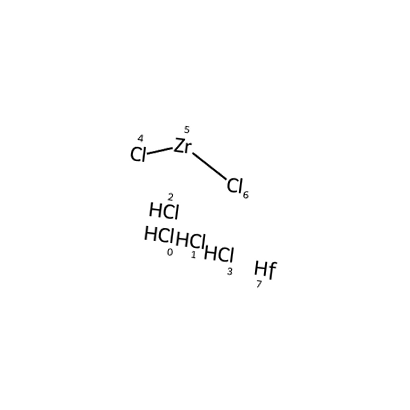 Cl.Cl.Cl.Cl.[Cl][Zr][Cl].[Hf]